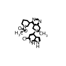 C[C@@H]1Cc2ncnc(C3CCCN(S(C)(=O)=O)C3)c2CN1C1=CC(Cl)=N[C@@H]2NC=CC12